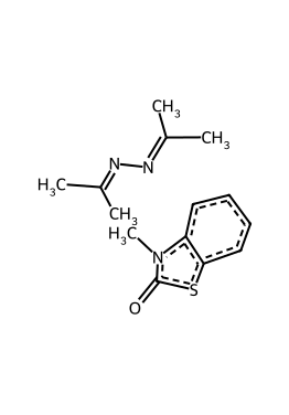 CC(C)=NN=C(C)C.Cn1c(=O)sc2ccccc21